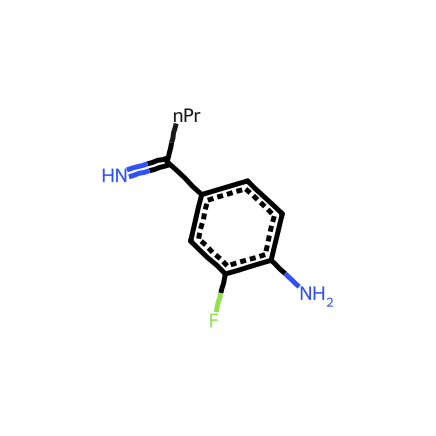 C[CH]CC(=N)c1ccc(N)c(F)c1